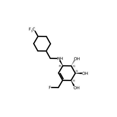 O[C@@H]1[C@@H](O)[C@@H](O)C(CF)=C[C@H]1NCC1CCC(C(F)(F)F)CC1